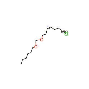 CCCCCCOCOCC/C=C\C[CH2][Mg][Cl]